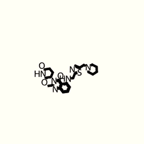 Cc1nc2cccc(NCc3ncc(CN4CCCCC4)s3)c2c(=O)n1C1CCC(=O)NC1=O